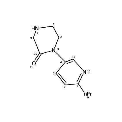 CCCc1ccc(N2CCNCC2=O)cn1